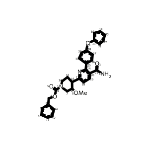 COC1CN(C(=O)OCc2ccccc2)CCC1c1ccc(C(N)=O)c(-c2ccc(Oc3ccccc3)cc2)n1